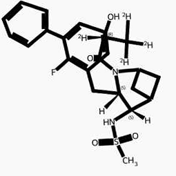 [2H]C([2H])([2H])[C@@]([2H])(O)C(=O)N1C2CC(C2)[C@H](NS(C)(=O)=O)[C@@H]1Cc1cccc(-c2ccccc2)c1F